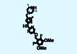 COc1cc(OC)c(F)c(COc2cnc(Nc3cc(CN4C[C@@H](C)N[C@@H](C)C4)n(C)n3)nc2)c1F